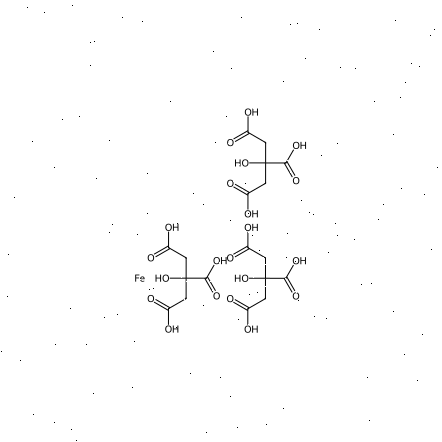 O=C(O)CC(O)(CC(=O)O)C(=O)O.O=C(O)CC(O)(CC(=O)O)C(=O)O.O=C(O)CC(O)(CC(=O)O)C(=O)O.[Fe]